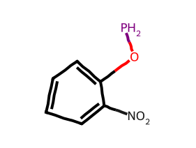 O=[N+]([O-])c1ccccc1OP